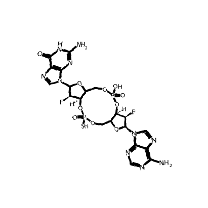 Nc1nc2c(ncn2C2OC3COP(=O)(O)O[C@@H]4C(COP(=O)(S)O[C@H]3[C@H]2F)OC(n2cnc3c(N)ncnc32)[C@@H]4F)c(=O)[nH]1